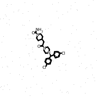 NC(=O)N1CCC(CC(=O)N2CCN(C(c3ccc(Cl)cc3)c3ccc(Cl)cc3)CC2)CC1